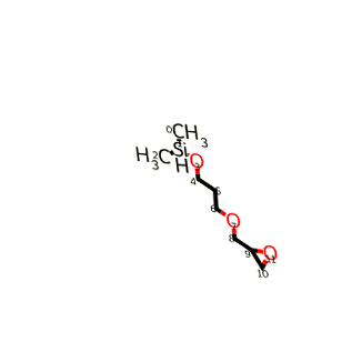 C[SiH](C)OCCCOCC1CO1